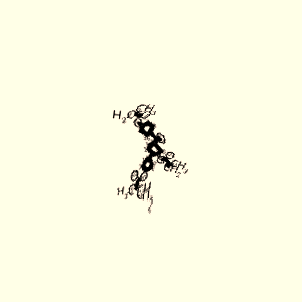 C=C(C)C(=O)Oc1ccc(C(=O)c2ccc(-c3ccc(OC(=O)C(=C)C)cc3)c(OC(=O)C(=C)C)c2)cc1